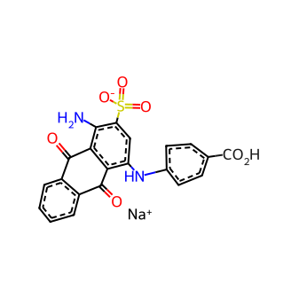 Nc1c(S(=O)(=O)[O-])cc(Nc2ccc(C(=O)O)cc2)c2c1C(=O)c1ccccc1C2=O.[Na+]